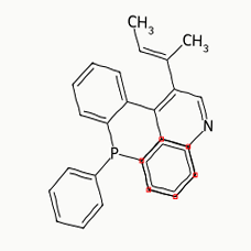 CC=C(C)c1cnc2ccccc2c1-c1ccccc1P(c1ccccc1)c1ccccc1